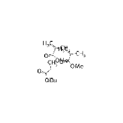 C=C(C)C(=O)OC.C=C(C)C(=O)OC.C=CC(=O)OCC(C)C